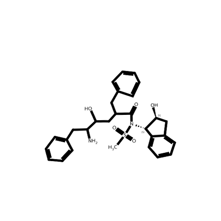 CS(=O)(=O)N(C(=O)C(Cc1ccccc1)CC(O)C(N)Cc1ccccc1)[C@H]1c2ccccc2C[C@@H]1O